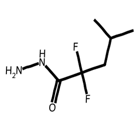 CC(C)CC(F)(F)C(=O)NN